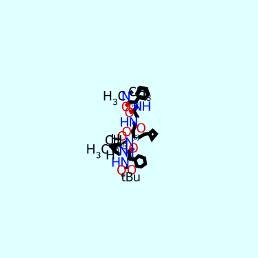 CN(C)C(=O)[C@@H](NC(=O)CNC(=O)C(=O)[C@H](CCC1CCC1)NC(=O)[C@@H]1[C@@H]2[C@H](CN1C(=O)[C@@H](NC(=O)OC(C)(C)C)C1CCCCC1)C2(C)C)c1ccccc1